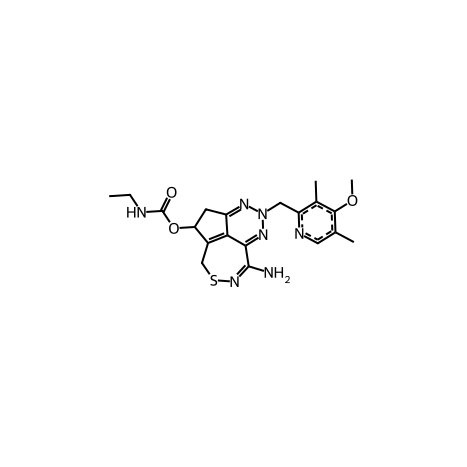 CCNC(=O)OC1CC2=NN(Cc3ncc(C)c(OC)c3C)N=C3C(N)=NSCC1=C23